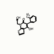 C#CCn1c(=O)c(-c2ccccc2C)c(O)c2ccsc21